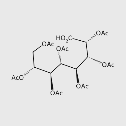 CC(=O)OC[C@@H](OC(C)=O)[C@H](OC(C)=O)[C@H](OC(C)=O)[C@H](OC(C)=O)[C@@H](OC(C)=O)[C@@H](OC(C)=O)C(=O)O